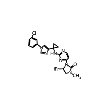 CC(C)C1CN(C)C(=O)N1c1ccnc(NC2(c3cn(-c4cccc(Cl)c4)cn3)CC2)n1